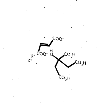 O=C(O)CC(O)(CC(=O)O)C(=O)O.O=C([O-])/C=C/C(=O)[O-].[K+].[K+]